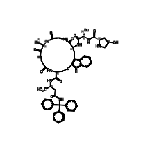 CC[C@H](C)[C@@H]1NC(=O)CNC(=O)[C@@H](NC(=O)[C@@H](NC(=O)[C@@H]2C[C@@H](O)CN2)[C@@H](C)CC)Cc2c([nH]c3ccccc23)SC[C@@H](C(=O)N[C@@H](CC(=O)NC(c2ccccc2)(c2ccccc2)c2ccccc2)C(=O)O)NC(=O)CNC1=O